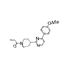 C=CC(=O)N1CCC(c2nccc(-c3ccc(OC)cc3)n2)CC1